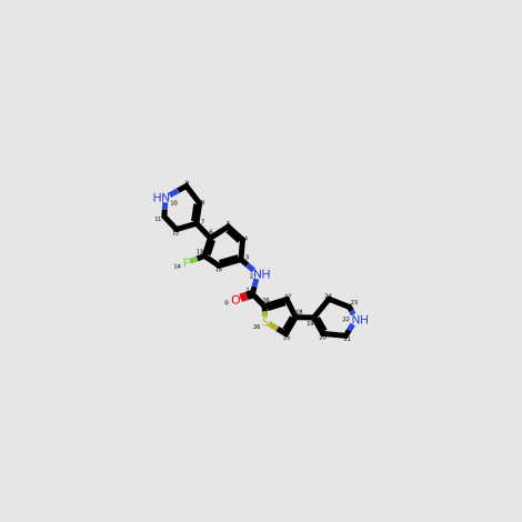 O=C(Nc1ccc(C2=CCNCC2)c(F)c1)c1cc(C2=CCNCC2)cs1